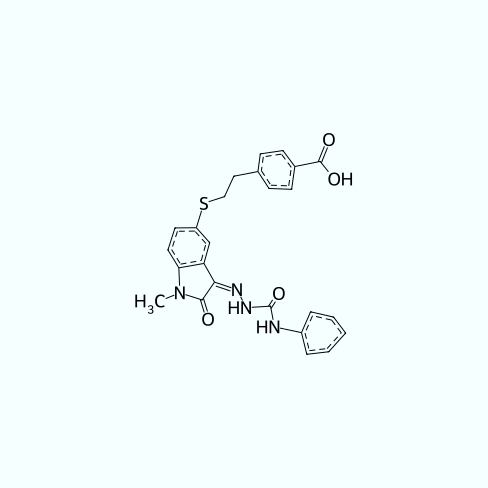 CN1C(=O)C(=NNC(=O)Nc2ccccc2)c2cc(SCCc3ccc(C(=O)O)cc3)ccc21